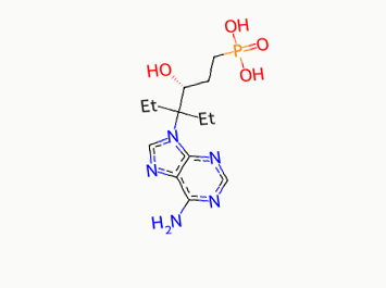 CCC(CC)([C@H](O)CCP(=O)(O)O)n1cnc2c(N)ncnc21